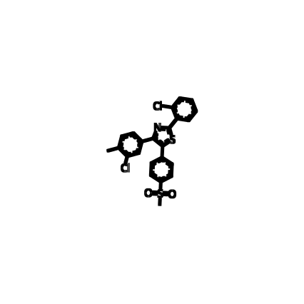 Cc1ccc(-c2nc(-c3ccccc3Cl)sc2-c2ccc(S(C)(=O)=O)cc2)cc1Cl